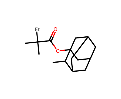 CCC(C)(C)C(=O)OC12CC3CC(CC(C3)C1C)C2